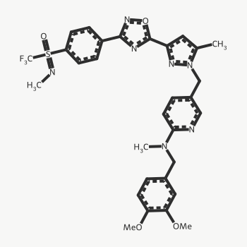 CN=S(=O)(c1ccc(-c2noc(-c3cc(C)n(Cc4ccc(N(C)Cc5ccc(OC)c(OC)c5)nc4)n3)n2)cc1)C(F)(F)F